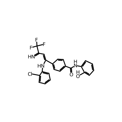 N=C(/C=C(\Nc1ccccc1Cl)c1ccc(C(=O)Nc2ccccc2O)cc1)C(F)(F)F